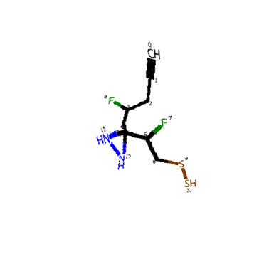 C#CCC(F)C1(C(F)CSS)NN1